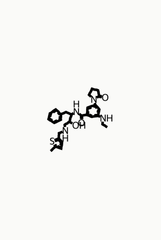 CCNc1cc(C(=O)NC(Cc2ccccc2)C(O)CNCc2ccc(C)s2)cc(N2CCCC2=O)c1